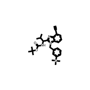 C#Cc1cccc2c1nc(C(NC(=O)OC(C)(C)C)C(C)C)n2Cc1cccc([Si](C)(C)C)c1